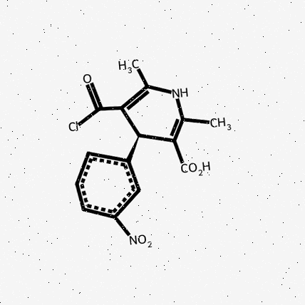 CC1=C(C(=O)O)[C@@H](c2cccc([N+](=O)[O-])c2)C(C(=O)Cl)=C(C)N1